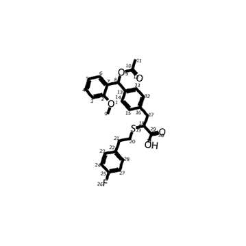 COc1ccccc1C(OC(C)=O)c1ccc(CC(SCCc2ccc(F)cc2)C(=O)O)cc1